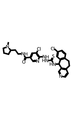 CN1CCCC1CCNC(=O)c1cnc(NNC(=S)NC2c3cnccc3CCc3ccc(Cl)cc32)c(Cl)c1